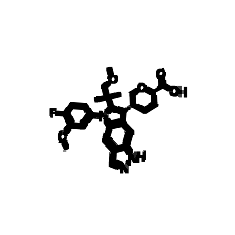 COCC(C)(C)c1c([C@H]2CC[C@H](C(=O)O)OC2)c2cc3[nH]ncc3cc2n1-c1ccc(F)c(OC)c1